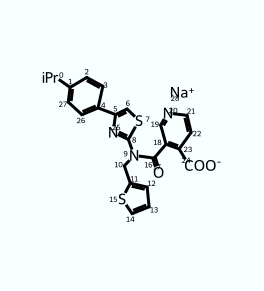 CC(C)c1ccc(-c2csc(N(Cc3cccs3)C(=O)c3cnccc3C(=O)[O-])n2)cc1.[Na+]